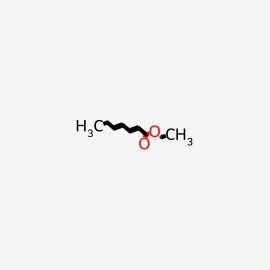 CCC=CC=CC(=O)OCC